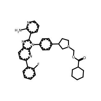 Nc1ncccc1-c1nc2ccc(-c3ccccc3F)nc2n1-c1ccc(C2CCN(COC(=O)C3CCCCC3)C2)cc1